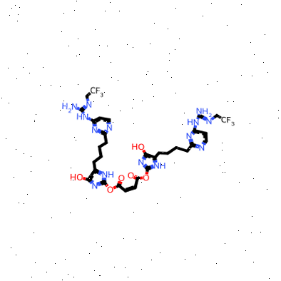 NC(=NCC(F)(F)F)Nc1ccnc(CCCCc2[nH]c(OC(=O)/C=C\C(=O)Oc3nc(O)c(CCCCc4nccc(NC(N)=NCC(F)(F)F)n4)[nH]3)nc2O)n1